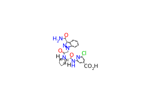 NC(=O)c1nn(CC(=O)N2[C@@H]3CC[C@@H](C3)[C@H]2C(=O)Nc2cc(C(=O)O)cc(Cl)n2)c2ccccc12